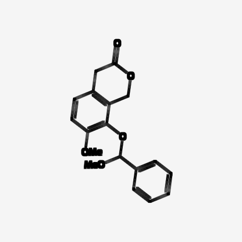 COc1ccc2c(c1OC(OC)c1ccccc1)COC(=O)C2